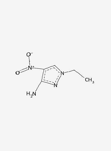 CCn1cc([N+](=O)[O-])c(N)n1